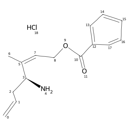 C=CC[C@H](N)C(C)=CCOC(=O)c1ccccc1.Cl